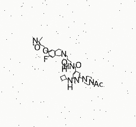 CC(=O)N1CCN(c2cc(C(=O)NCC(O)CN3CCc4cc(OCc5ocnc5C)c(F)cc4C3)cc(NC3CCC3)n2)CC1